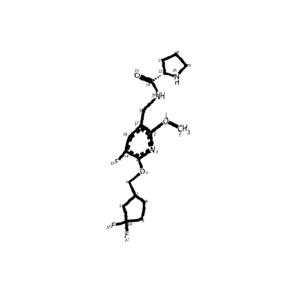 COc1nc(OCC2CCC(F)(F)C2)c(F)cc1CNC(=O)[C@@H]1CCCN1